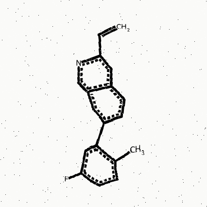 C=Cc1cc2ccc(-c3cc(F)ccc3C)cc2cn1